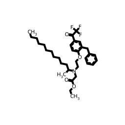 CCCCCCCCCCCC(C)N(CCOc1ccc(C(=O)C(F)(F)F)cc1Cc1ccccc1)CC(=O)OCC